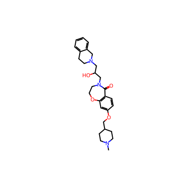 CN1CCC(COc2ccc3c(c2)OCCN(CC(O)CN2CCc4ccccc4C2)C3=O)CC1